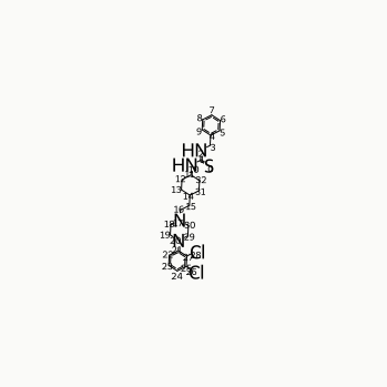 S=C(NCc1ccccc1)NC1CCC(CCN2CCN(c3cccc(Cl)c3Cl)CC2)CC1